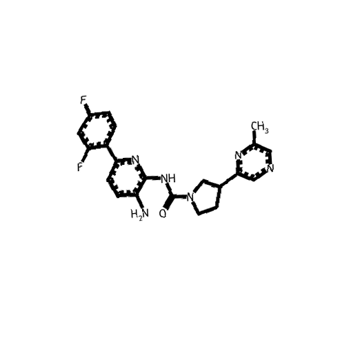 Cc1cncc(C2CCN(C(=O)Nc3nc(-c4ccc(F)cc4F)ccc3N)C2)n1